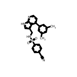 Cc1cc(C)cc(-c2ccnc3[nH]cc(CNS(=O)(=O)c4ccc(C#N)cc4)c23)c1